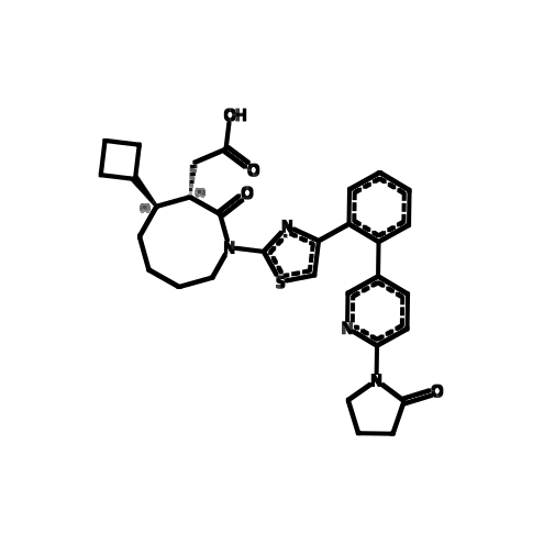 O=C(O)C[C@@H]1C(=O)N(c2nc(-c3ccccc3-c3ccc(N4CCCC4=O)nc3)cs2)CCCC[C@H]1C1CCC1